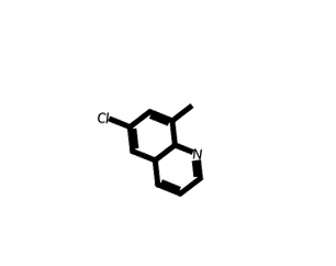 CC1=CC(Cl)=CC2C=CC=NC12